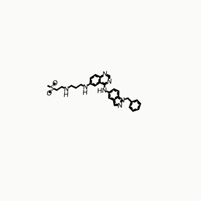 CS(=O)(=O)CCNCCCNc1ccc2ncnc(Nc3ccc4c(cnn4Cc4ccccc4)c3)c2c1